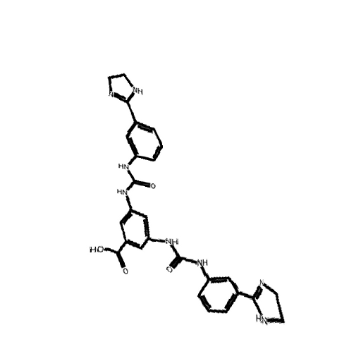 O=C(Nc1cc(NC(=O)Nc2cccc(C3=NCCN3)c2)cc(C(=O)O)c1)Nc1cccc(C2=NCCN2)c1